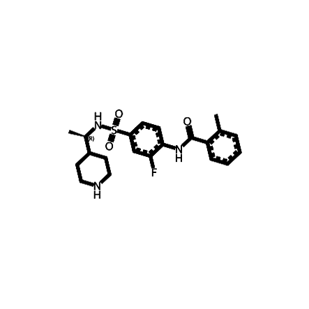 Cc1ccccc1C(=O)Nc1ccc(S(=O)(=O)N[C@H](C)C2CCNCC2)cc1F